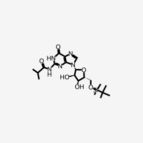 CC(C)C(=O)Nc1nc2c(ncn2[C@@H]2O[C@H](CO[Si](C)(C)C(C)(C)C)[C@@H](O)[C@H]2O)c(=O)[nH]1